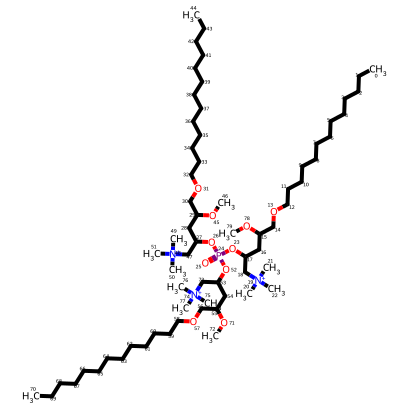 CCCCCCCCCCCCCOCC(CC(C[N+](C)(C)C)OP(=O)(OC(CC(COCCCCCCCCCCCCC)OC)C[N+](C)(C)C)OC(CC(COCCCCCCCCCCCCC)OC)C[N+](C)(C)C)OC